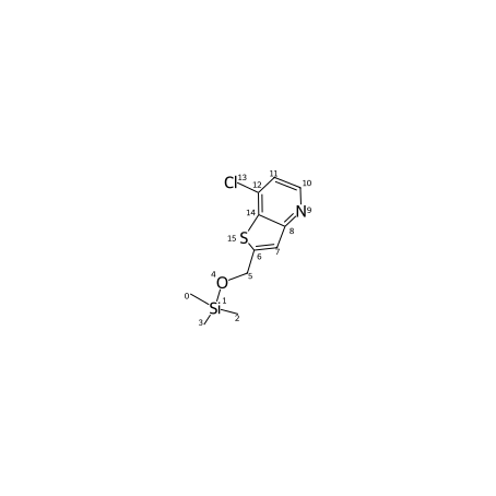 C[Si](C)(C)OCc1cc2nccc(Cl)c2s1